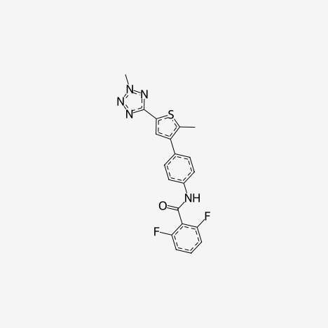 Cc1sc(-c2nnn(C)n2)cc1-c1ccc(NC(=O)c2c(F)cccc2F)cc1